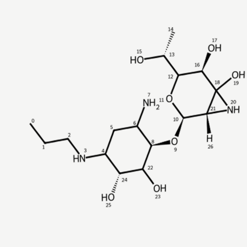 CCCNC1CC(N)[C@@H](O[C@H]2OC([C@@H](C)O)[C@@H](O)C3(O)N[C@H]23)C(O)[C@@H]1O